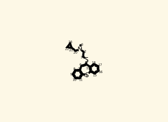 CN(CCSC1=Cc2ccccc2Sc2ccccc21)CC1CC1